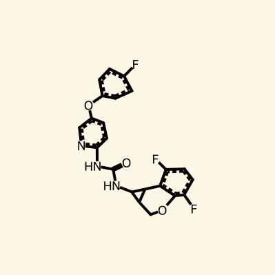 O=C(Nc1ccc(Oc2ccc(F)cc2)cn1)NC1C2COc3c(F)ccc(F)c3C21